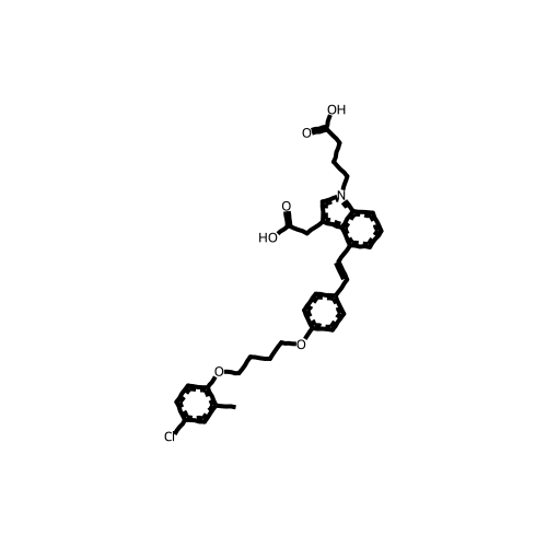 Cc1cc(Cl)ccc1OCCCCOc1ccc(/C=C/c2cccc3c2c(CC(=O)O)cn3CCCC(=O)O)cc1